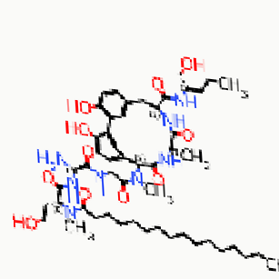 CCCCCCCCCCCCCCCC(=O)N(C)[C@H](CCO)C(=O)N[C@H](N)C(=O)NCC(=O)N(C)[C@@H]1C(=O)N[C@@H](C)C(=O)N[C@H](C(=O)N[C@H](CO)CCC)Cc2ccc(O)c(c2)-c2cc1ccc2O